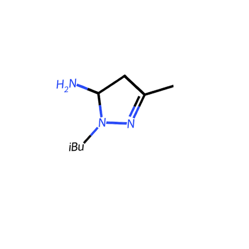 CCC(C)N1N=C(C)CC1N